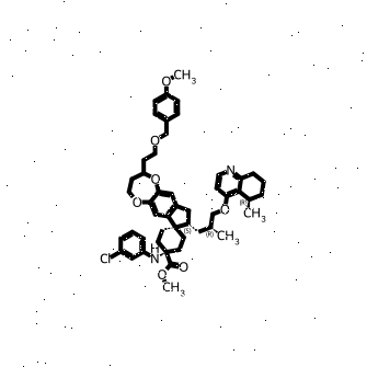 COc1ccc(COCCC2CCOc3cc4c(cc3O2)C[C@H](C[C@@H](C)COc2ccnc3c2[C@H](C)CCC3)[C@]42CC[C@](Nc3cccc(Cl)c3)(C(=O)OC)CC2)cc1